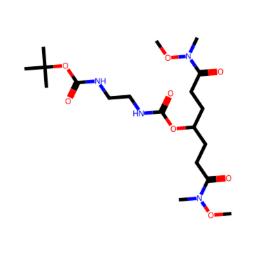 CON(C)C(=O)CCC(CCC(=O)N(C)OC)OC(=O)NCCNC(=O)OC(C)(C)C